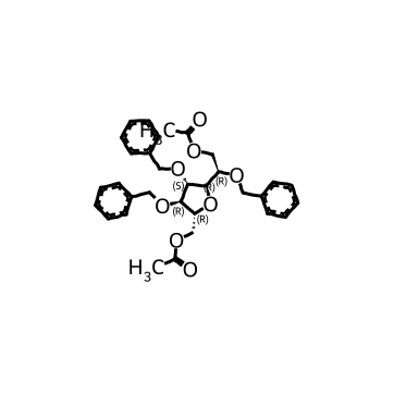 CC(=O)OC[C@@H](OCc1ccccc1)[C@H]1O[C@H](COC(C)=O)[C@@H](OCc2ccccc2)[C@@H]1OCc1ccccc1